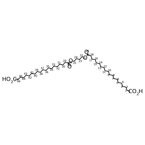 O=C(O)CCCCCCCCCCCCCCCCCCC(=O)OCCCCOC(=O)CCCCCCCCCCCCCCCCCCC(=O)O